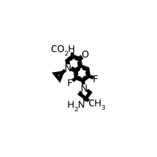 CC1(N)CN(c2c(F)cc3c(=O)c(C(=O)O)cn(C4CC4)c3c2F)C1